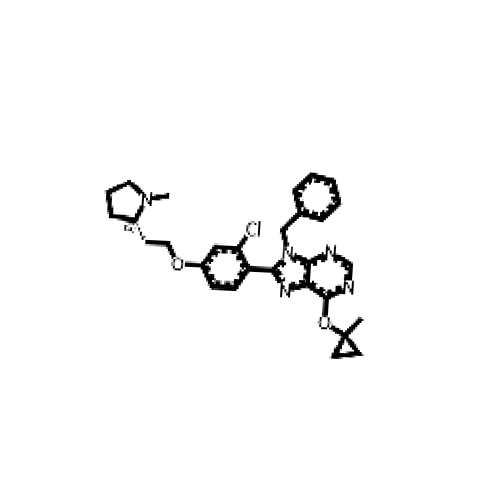 CN1CCC[C@H]1CCOc1ccc(-c2nc3c(OC4(C)CC4)ncnc3n2Cc2ccccc2)c(Cl)c1